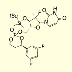 CC(C)(C)[Si](C)(C)O[C@@H]1[C@@H](CO[P@]2(=O)OCC[C@H](c3cc(F)cc(F)c3)O2)O[C@@H](n2ccc(=O)[nH]c2=O)[C@]1(C)F